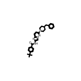 CC(C)(C)c1ccc(C(=O)Nc2cn3nc(N4CCC(Cc5ccccc5)CC4)ccc3n2)cc1